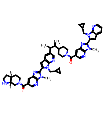 C=C(C1CCN(C(=O)c2cnc3c(c2)nc(-c2cc4cccnc4n2CC2CC2)n3C)CC1)C(C)c1cnc2c(c1)cc(-c1nc3cc(C(=O)N4CC[C@H]5CCN[C@H]5C4)cnc3n1C)n2CC1CC1